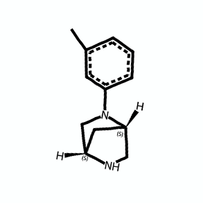 Cc1cccc(N2C[C@@H]3C[C@H]2CN3)c1